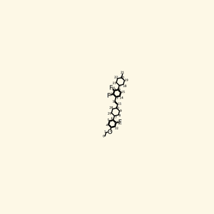 CCOc1ccc(C2CCC(/C=C/c3ccc(C4CCC(C)CC4)c(F)c3F)CC2)c(F)c1